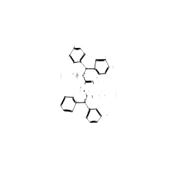 N[C@H](C(=O)N[C@H](C(=O)O)C(c1ccccc1)c1ccccc1)C(c1ccccc1)c1ccccc1